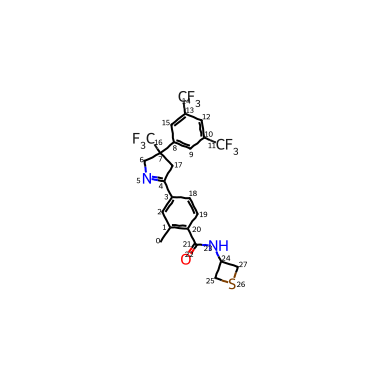 Cc1cc(C2=NCC(c3cc(C(F)(F)F)cc(C(F)(F)F)c3)(C(F)(F)F)C2)ccc1C(=O)NC1CSC1